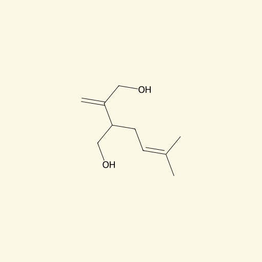 C=C(CO)C(CO)CC=C(C)C